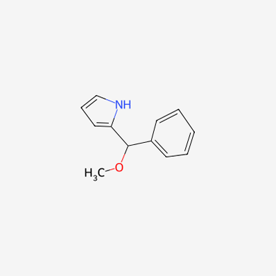 COC(c1ccccc1)c1ccc[nH]1